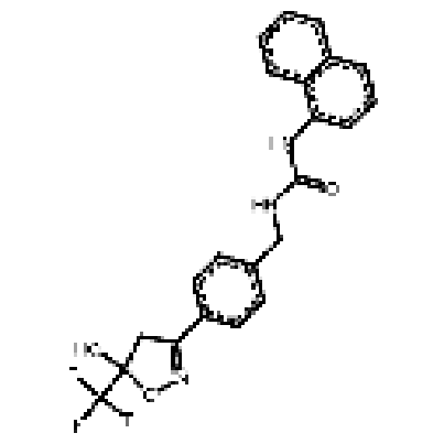 O=C(NCc1ccc(C2=NOC(O)(C(F)(F)F)C2)cc1)Nc1cccc2ccccc12